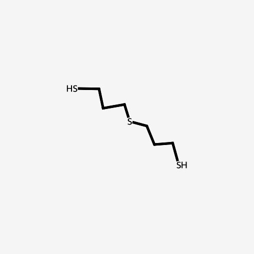 SCCCSCCCS